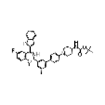 COc1ccc(F)cc1[C@@H](NCc1cc(C)cc(-c2ccc(N3CCC(NC(=O)OC(C)(C)C)CC3)cc2)c1)c1cc2ccccc2[nH]1